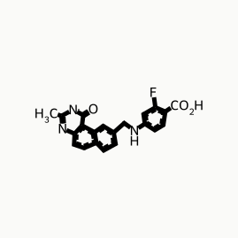 CC1=Nc2ccc3ccc(CNc4ccc(C(=O)O)c(F)c4)cc3c2C(=O)[N]1